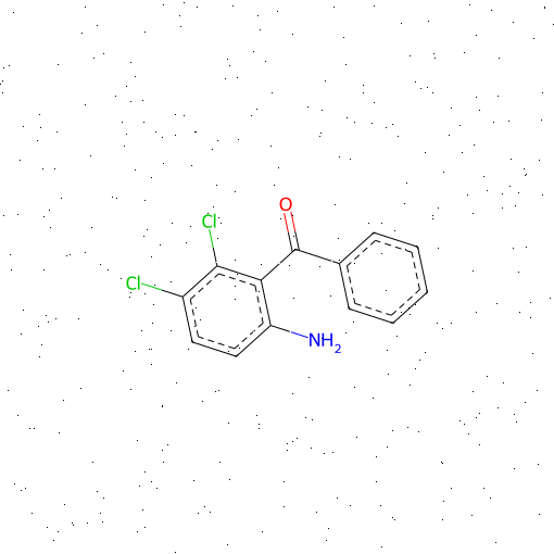 Nc1ccc(Cl)c(Cl)c1C(=O)c1ccccc1